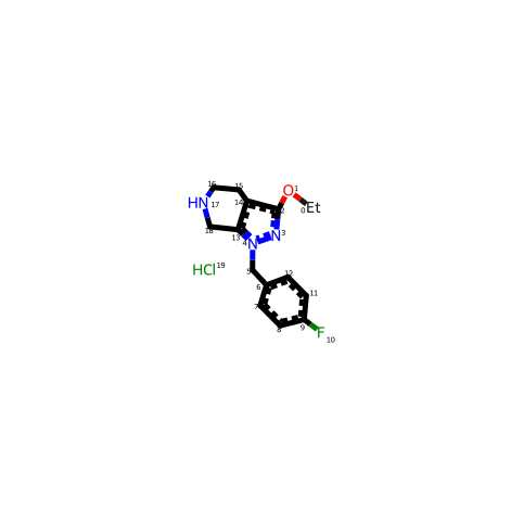 CCOc1nn(Cc2ccc(F)cc2)c2c1CCNC2.Cl